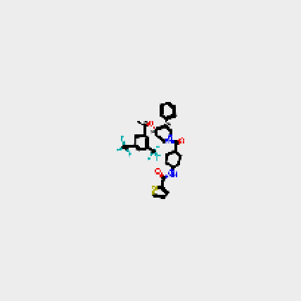 C[C@@H](O[C@H]1CCN(C(=O)C2CCC(NC(=O)c3cccs3)CC2)C[C@H]1c1ccccc1)c1cc(C(F)(F)F)cc(C(F)(F)F)c1